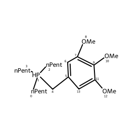 CCCCC[PH](CCCCC)(CCCCC)Cc1cc(OC)c(OC)c(OC)c1